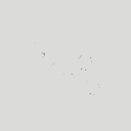 Cc1cccc(N(Cc2ccc(F)cc2)C(=O)OC2C[N+]3(CC4CCC4)CCC2CC3)c1